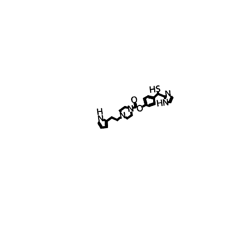 O=C(Oc1ccc(C(S)c2ncc[nH]2)cc1)N1CCN(CCc2ccc[nH]2)CC1